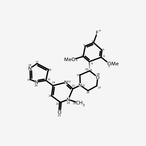 COc1cc(F)cc(OC)c1[C@H]1CN(c2nc(-c3ccncn3)cc(=O)n2C)CCO1